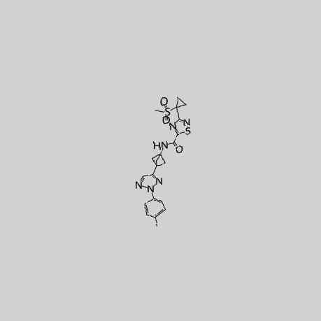 Cc1ccc(-n2ncc(C34CC(NC(=O)c5nc(C6(S(C)(=O)=O)CC6)ns5)(C3)C4)n2)cc1